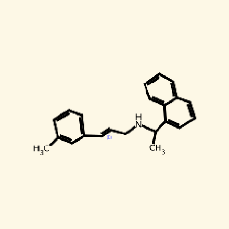 Cc1cccc(/C=C/CNC(C)c2cccc3ccccc23)c1